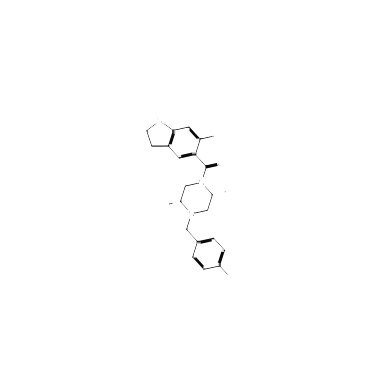 Cc1cc2c(cc1C(=O)N1C[C@H](C)N(Cc3ccc(F)cc3)C[C@H]1C)CCN2